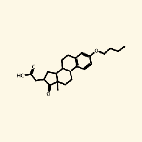 CCCCOc1ccc2c(c1)CCC1C2CC[C@]2(C)C(=O)C(CC(=O)O)CC12